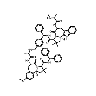 CN[C@@H](C)C(=O)N[C@H]1Cc2c([nH]c3ccccc23)[C@H]2CC(C)(C)C(C(=O)NC(c3ccccc3)c3ccc(CN[C@@H](C)C(=O)N[C@H]4Cc5cc(OC)ccc5[C@H]5CC(C)(C)C(C(=O)NC(c6ccccc6)c6ccccc6)N5C4=O)cc3)N2C1=O